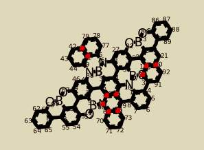 c1ccc(-c2cccc(-c3ccccc3)c2N2B3Oc4ccc5c6c4-c4c(cc7c(c43)-c3c2cc2c4c3B(N(c3ccccc3)c3cc8c9c(c3-4)B(Oc3ccc4c(c3-9)B(Oc3ccccc3-4)O8)N2c2ccccc2)N7c2ccccc2)OB6Oc2ccccc2-5)cc1